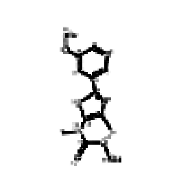 CCCCOc1cncc(-c2nc(C)c(N(C)C(=O)OC(C)(C)C)s2)c1